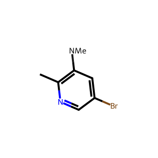 CNc1cc(Br)cnc1C